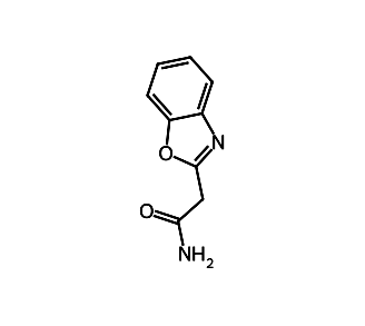 NC(=O)Cc1nc2ccccc2o1